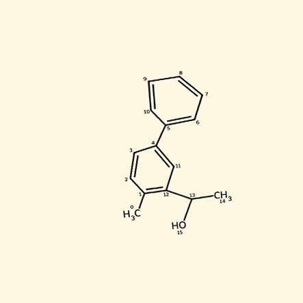 Cc1ccc(-c2ccccc2)cc1C(C)O